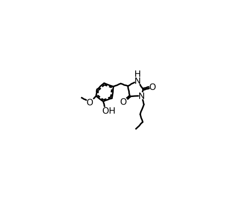 CCCCN1C(=O)NC(Cc2ccc(OC)c(O)c2)C1=O